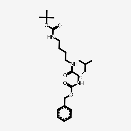 CC(C)C[C@H](NC(=O)OCc1ccccc1)C(=O)NCCCCNC(=O)OC(C)(C)C